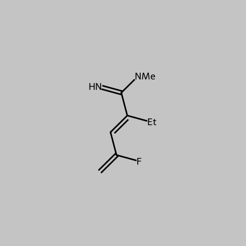 C=C(F)/C=C(\CC)C(=N)NC